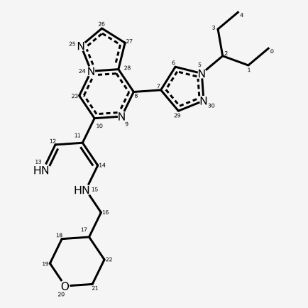 CCC(CC)n1cc(-c2nc(/C(C=N)=C/NCC3CCOCC3)cn3nccc23)cn1